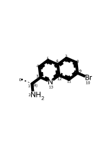 C[C@@H](N)c1ccc2ccc(Br)cc2n1